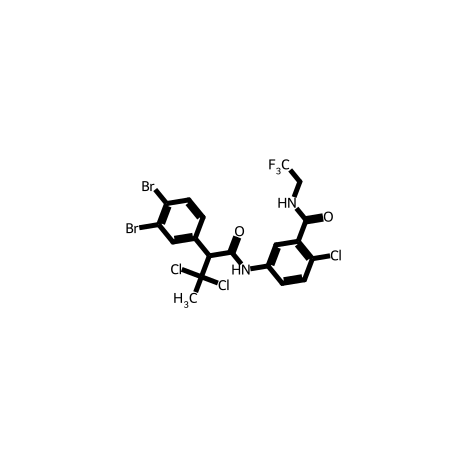 CC(Cl)(Cl)C(C(=O)Nc1ccc(Cl)c(C(=O)NCC(F)(F)F)c1)c1ccc(Br)c(Br)c1